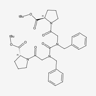 CC(C)(C)OC(=O)[C@H]1CCCN1C(=O)CN(Cc1ccccc1)C(=O)N(CC(=O)N1CCC[C@@H]1C(=O)OC(C)(C)C)Cc1ccccc1